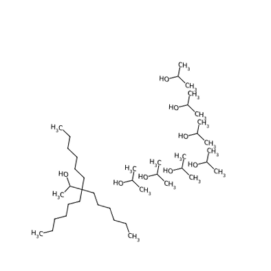 CC(C)O.CC(C)O.CC(C)O.CC(C)O.CC(C)O.CC(C)O.CC(C)O.CCCCCCC(CCCCCC)(CCCCCC)C(C)O